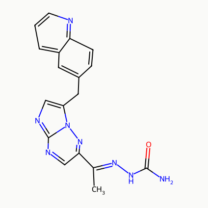 CC(=NNC(N)=O)c1cnc2ncc(Cc3ccc4ncccc4c3)n2n1